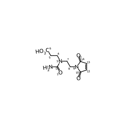 NC(=O)N(CCC(=O)O)CCN1C(=O)C=CC1=O